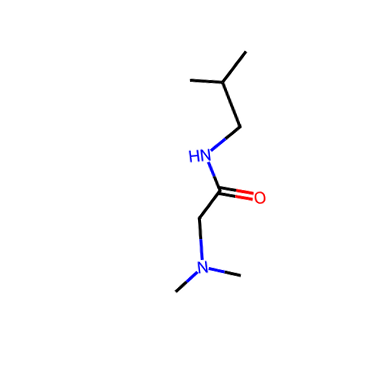 CC(C)CNC(=O)CN(C)C